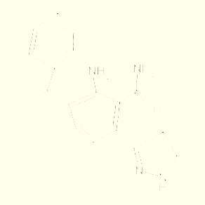 CC(c1ccccc1)c1ccc(-c2cc[nH]n2)c(C(N)=O)c1N